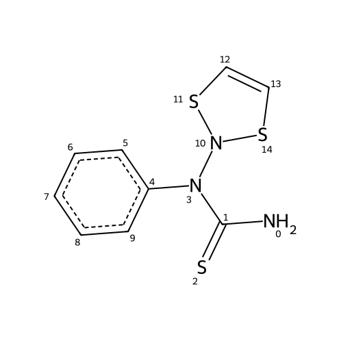 NC(=S)N(c1ccccc1)N1SC=CS1